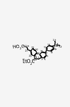 CCOC(=O)N(Cc1ccc(-c2ccc(N(C)C)cc2)cc1)c1cccc(/C=C/C(=O)O)c1